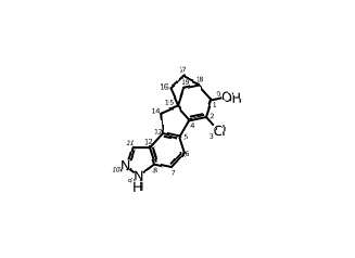 OC1C(Cl)=C2c3ccc4[nH]ncc4c3CC23CCC1C3